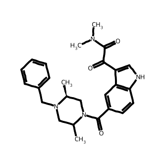 CC1CN(Cc2ccccc2)[C@@H](C)CN1C(=O)c1ccc2[nH]cc(C(=O)C(=O)N(C)C)c2c1